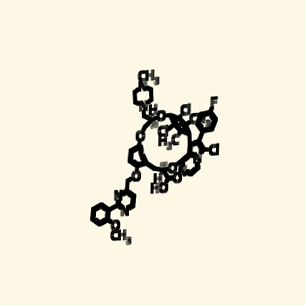 COc1ccccc1-c1nccc(COc2ccc3cc2C[C@H](C(=O)O)Oc2nccn4c(Cl)c(-c5ccc(F)cc5)c(c24)-c2c(C)c(Cl)c(c(Cl)c2C)O[C@H](CN2CCN(C)CC2)CO3)n1